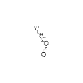 OCCCNC[C@H]1CCc2ccc(OCc3ccccc3)cc2O1